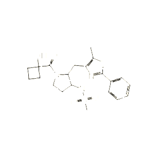 Cc1sc(-c2ccccc2)nc1CC1C(NS(C)(=O)=O)CCN1C(=O)C1(O)CCC1